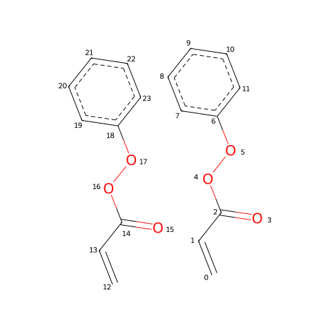 C=CC(=O)OOc1ccccc1.C=CC(=O)OOc1ccccc1